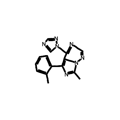 Cc1ccccc1-c1nc(C)n2ncnc(-n3cncn3)c12